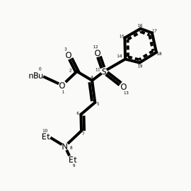 CCCCOC(=O)/C(=C\C=C\N(CC)CC)S(=O)(=O)c1ccccc1